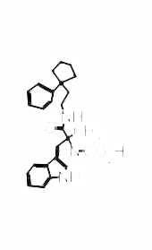 CC(Cc1c[nH]c2ccccc12)(NC(=O)O)C(=O)NCCC1(c2ccccc2)CCCC1